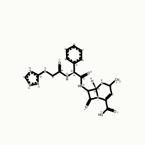 CC1C=C(C(=O)O)N2C(=O)C(NC(=O)[C@@H](NC(=O)CSc3nncs3)c3ccccc3)[C@@H]2S1